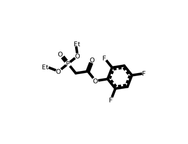 CCOP(=O)(CC(=O)Oc1c(F)cc(F)cc1F)OCC